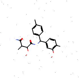 CCOc1cc(C(NC(=O)C(OC(C)C)C(C)C(N)=O)c2ccc(C)cc2)ccc1OC